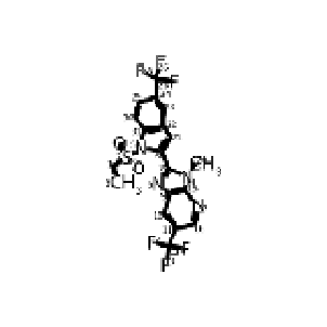 CCS(=O)(=O)n1c(-c2nc3cc(C(F)(F)F)cnc3n2C)cc2cc(C(F)(F)F)ccc21